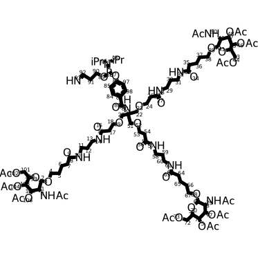 CC(=O)NC1C(OCCCCC(=O)NCCCNC(=O)CCOCC(COCCC(=O)NCCCNC(=O)CCCCOC2OC(COC(C)=O)C(OC(C)=O)C(OC(C)=O)C2NC(C)=O)(COCCC(=O)NCCCNC(=O)CCCCOC2OC(COC(C)=O)C(OC(C)=O)C(OC(C)=O)C2NC(C)=O)NC(=O)c2ccc(OP(OCCC=N)N(C(C)C)C(C)C)cc2)OC(COC(C)=O)C(OC(C)=O)C1OC(C)=O